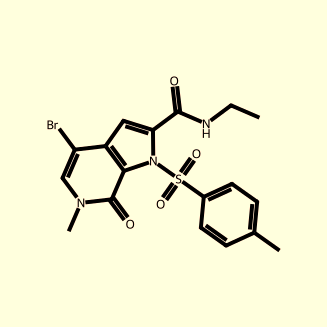 CCNC(=O)c1cc2c(Br)cn(C)c(=O)c2n1S(=O)(=O)c1ccc(C)cc1